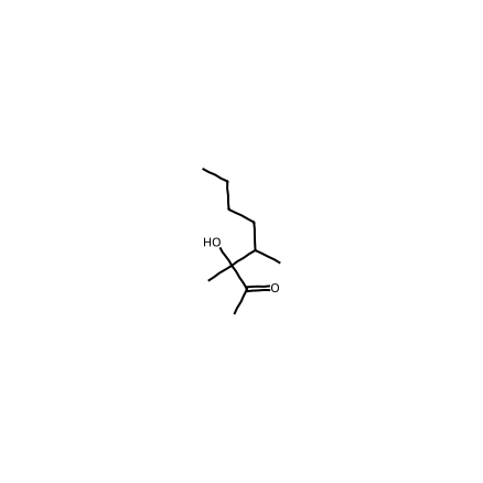 CCCCC(C)C(C)(O)C(C)=O